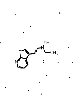 CCN(C)CCc1coc2ncccc12